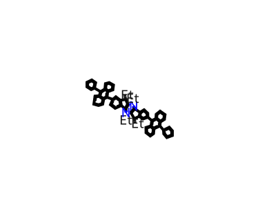 CCC1(CC)c2cc(-c3c4ccccc4c(-c4ccccc4)c4ccccc34)ccc2-c2nc3c(nc21)-c1ccc(-c2c4ccccc4c(-c4ccccc4)c4ccccc24)cc1C3(CC)CC